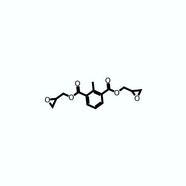 Cc1c(C(=O)OCC2CO2)cccc1C(=O)OCC1CO1